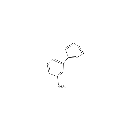 CC(=O)Nc1[c]ccc(-c2ccccc2)c1